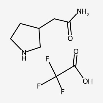 NC(=O)CC1CCNC1.O=C(O)C(F)(F)F